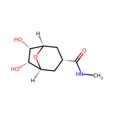 CNC(=O)[C@@H]1C[C@@H]2O[C@H](C1)[C@@H](O)[C@H]2O